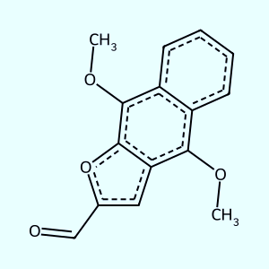 COc1c2ccccc2c(OC)c2oc(C=O)cc12